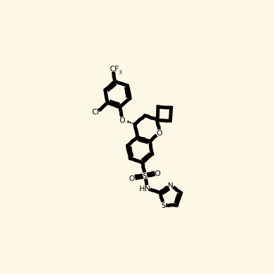 O=S(=O)(Nc1nccs1)c1ccc2c(c1)OC1(CCC1)C[C@H]2Oc1ccc(C(F)(F)F)cc1Cl